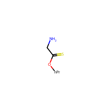 CCCOC(=S)CN